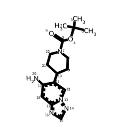 CC(C)(C)OC(=O)N1CCC(c2cn3ncnc3cc2N)CC1